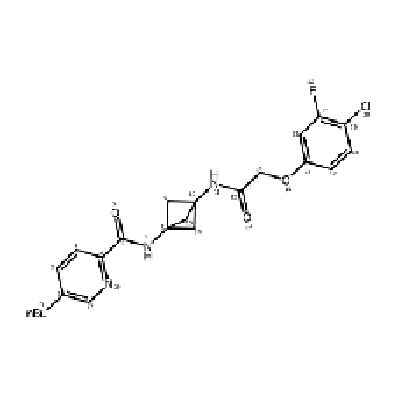 CCCCc1ccc(C(=O)NC23CC(NC(=O)COc4ccc(Cl)c(F)c4)(C2)C3)nc1